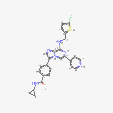 O=C(NC1CC1)c1ccc(-c2cnc3c(NCc4ccc(Cl)s4)nc(-c4ccncc4)cn23)cc1